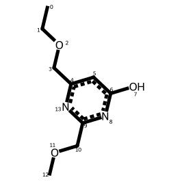 CCOCc1cc(O)nc(COC)n1